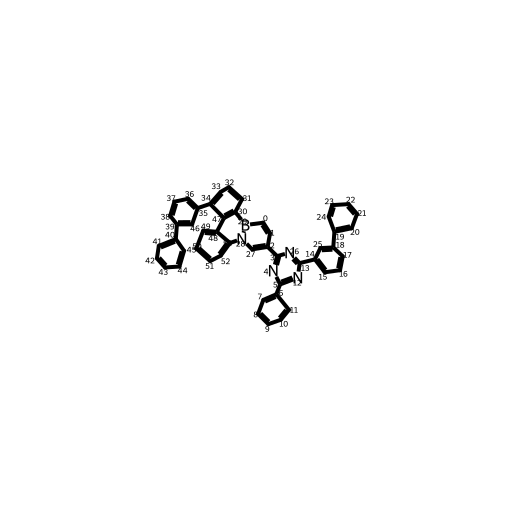 C1=CC(c2nc(-c3ccccc3)nc(-c3cccc(-c4ccccc4)c3)n2)=CN2B1c1cccc(-c3cccc(-c4ccccc4)c3)c1-c1ccccc12